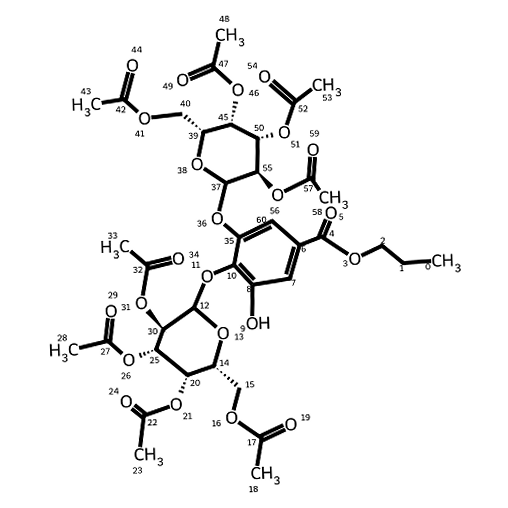 CCCOC(=O)c1cc(O)c(OC2O[C@H](COC(C)=O)[C@H](OC(C)=O)[C@H](OC(C)=O)[C@H]2OC(C)=O)c(OC2O[C@H](COC(C)=O)[C@H](OC(C)=O)[C@H](OC(C)=O)[C@H]2OC(C)=O)c1